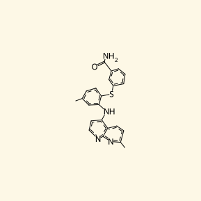 Cc1ccc(Sc2cccc(C(N)=O)c2)c(Nc2ccnc3nc(C)ccc23)c1